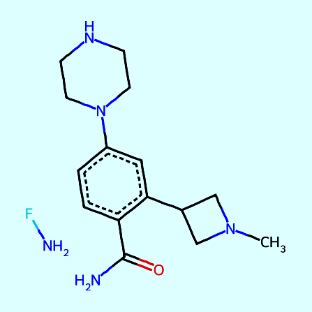 CN1CC(c2cc(N3CCNCC3)ccc2C(N)=O)C1.NF